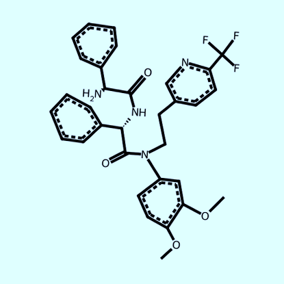 COc1ccc(N(CCc2ccc(C(F)(F)F)nc2)C(=O)[C@@H](NC(=O)[C@@H](N)c2ccccc2)c2ccccc2)cc1OC